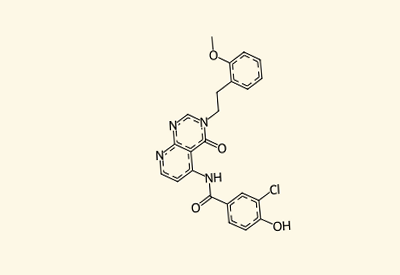 COc1ccccc1CCn1cnc2nccc(NC(=O)c3ccc(O)c(Cl)c3)c2c1=O